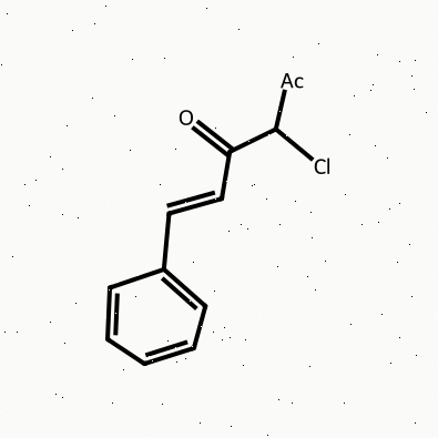 CC(=O)C(Cl)C(=O)C=Cc1ccccc1